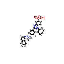 O=C(O)c1ccc2c(c1)nc(-c1ccc(CNCc3cccc4ccccc34)cc1)n2C1CCCCC1